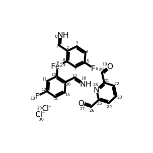 N=Cc1ccc(F)c[c]1[Fe+2][c]1cc(F)ccc1C=N.O=Cc1cccc(C=O)n1.[Cl-].[Cl-]